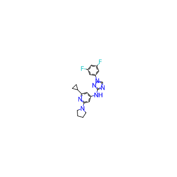 Fc1cc(F)cc(-n2cnc(Nc3cc(C4CC4)nc(N4CCCC4)c3)n2)c1